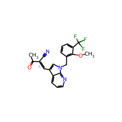 COc1c(Cn2cc(/C=C(\C#N)C(C)=O)c3cccnc32)cccc1C(F)(F)F